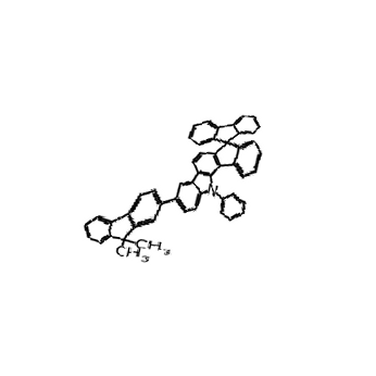 CC1(C)c2ccccc2-c2ccc(-c3ccc4c(c3)c3ccc5c(c3n4-c3ccccc3)-c3ccccc3C53c4ccccc4-c4ccccc43)cc21